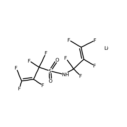 O=S(=O)(NC(F)(F)C(F)=C(F)F)C(F)(F)C(F)=C(F)F.[Li]